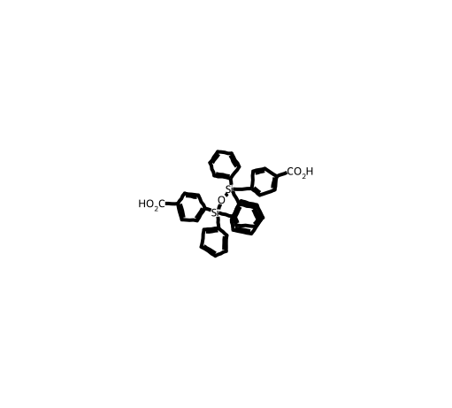 O=C(O)c1ccc([Si](O[Si](c2ccccc2)(c2ccccc2)c2ccc(C(=O)O)cc2)(c2ccccc2)c2ccccc2)cc1